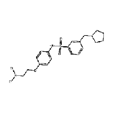 CCN(CC)CCOc1ccc(NS(=O)(=O)c2cccc(CN3CCCC3)c2)cc1